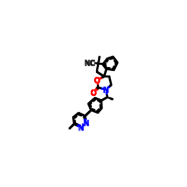 Cc1ccc(-c2ccc([C@H](C)N3CCC(CC(C)(C)C#N)(c4ccccc4)OC3=O)cc2)nn1